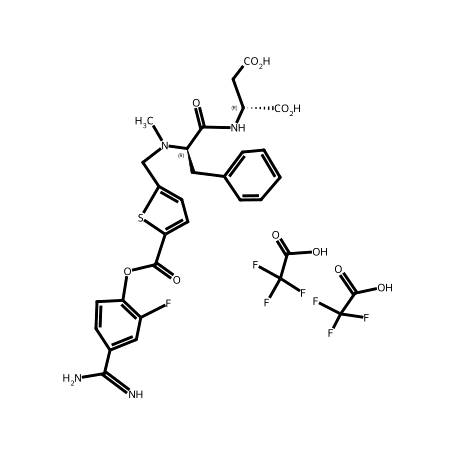 CN(Cc1ccc(C(=O)Oc2ccc(C(=N)N)cc2F)s1)[C@H](Cc1ccccc1)C(=O)N[C@H](CC(=O)O)C(=O)O.O=C(O)C(F)(F)F.O=C(O)C(F)(F)F